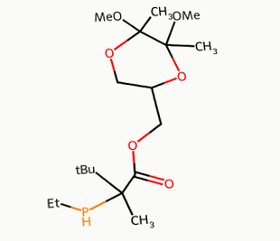 CCPC(C)(C(=O)OCC1COC(C)(OC)C(C)(OC)O1)C(C)(C)C